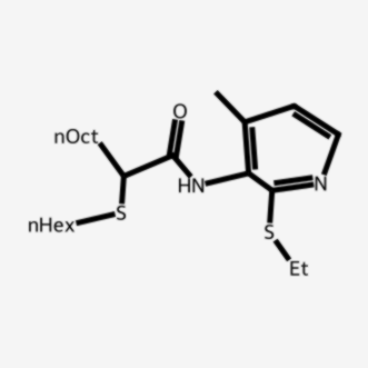 CCCCCCCCC(SCCCCCC)C(=O)Nc1c(C)ccnc1SCC